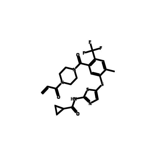 C=CC(=O)N1CCN(C(=O)c2cc(Sc3cnc(NC(=O)C4CC4)s3)c(C)cc2C(F)(F)F)CC1